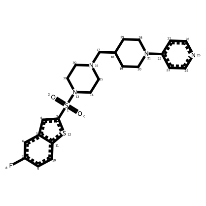 O=S(=O)(c1cc2cc(F)ccc2s1)N1CCN(CC2CCN(c3ccncc3)CC2)CC1